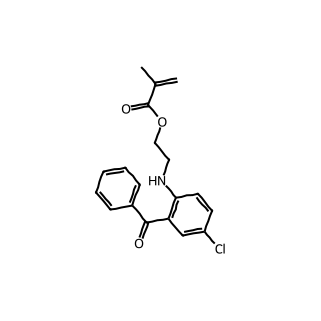 C=C(C)C(=O)OCCNc1ccc(Cl)cc1C(=O)c1ccccc1